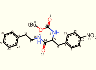 CC(C)(C)OC(=O)NC(Cc1ccc([N+](=O)[O-])cc1)C(=O)NCCc1ccccc1